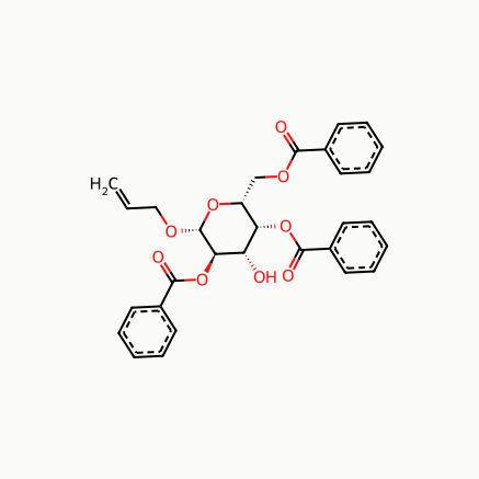 C=CCO[C@@H]1O[C@H](COC(=O)c2ccccc2)[C@H](OC(=O)c2ccccc2)[C@H](O)[C@H]1OC(=O)c1ccccc1